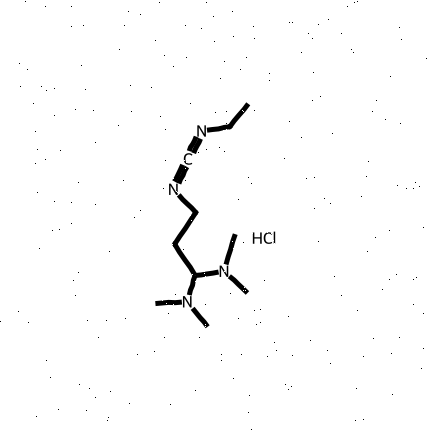 CCN=C=NCCC(N(C)C)N(C)C.Cl